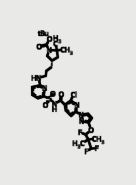 CC(C)(C)OC(=O)N1C[C@@H](CCCNc2cccc(S(=O)(=O)NC(=O)c3ccc(-n4ccc(OC(F)C(C)(C)C(F)F)n4)nc3Cl)n2)CC1(C)C